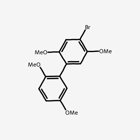 COc1ccc(OC)c(-c2cc(OC)c(Br)cc2OC)c1